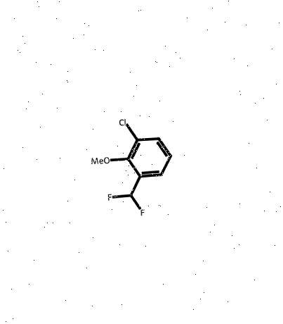 COc1c(Cl)cccc1C(F)F